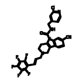 N#Cc1ccc2c3c(n(C(=O)NCc4ccnc(Cl)c4)c2c1)CCN(CC=Cc1c(F)c(F)c(F)c(F)c1F)C3